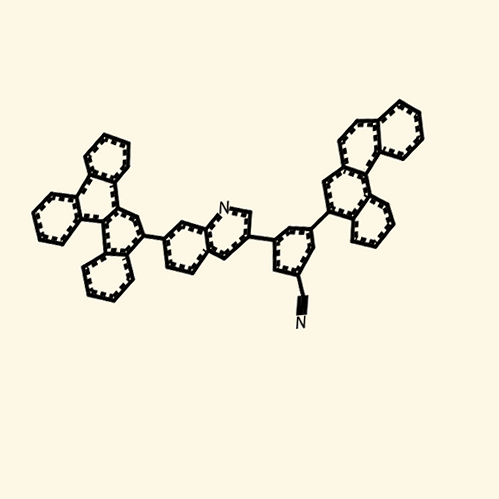 N#Cc1cc(-c2cnc3cc(-c4cc5c6ccccc6c6ccccc6c5c5ccccc45)ccc3c2)cc(-c2cc3ccc4ccccc4c3c3ccccc23)c1